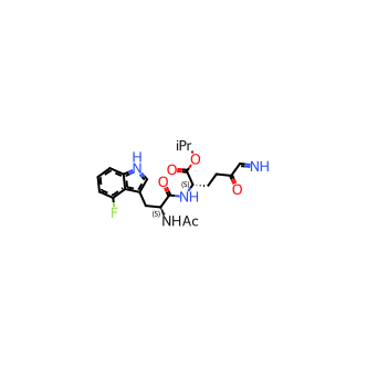 CC(=O)N[C@@H](Cc1c[nH]c2cccc(F)c12)C(=O)N[C@@H](CCC(=O)C=N)C(=O)OC(C)C